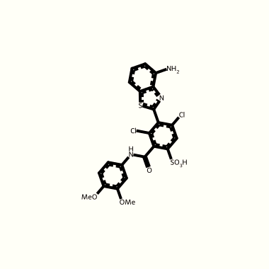 COc1ccc(NC(=O)c2c(S(=O)(=O)O)cc(Cl)c(-c3nc4c(N)cccc4s3)c2Cl)cc1OC